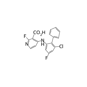 O=C(O)c1c(Nc2cc(F)cc(Cl)c2-c2ccccc2)ccnc1F